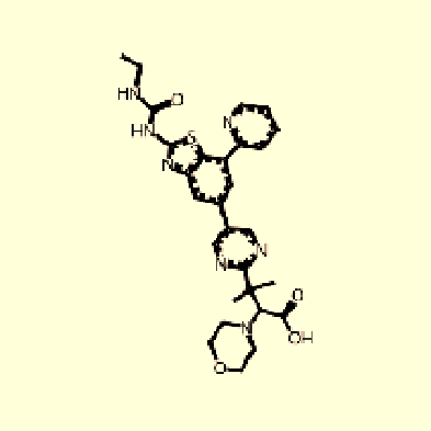 CCNC(=O)Nc1nc2cc(-c3cnc(C(C)(C)C(C(=O)O)N4CCOCC4)nc3)cc(-c3ccccn3)c2s1